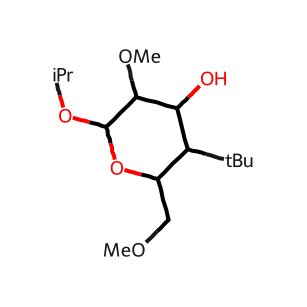 COCC1OC(OC(C)C)C(OC)C(O)C1C(C)(C)C